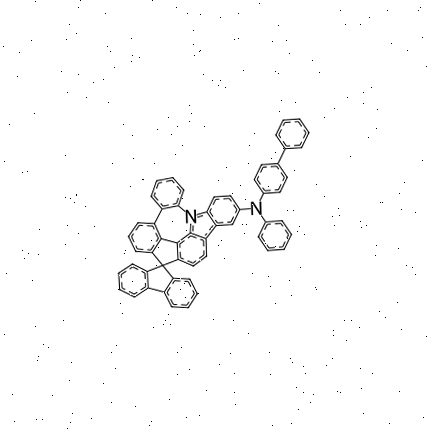 c1ccc(-c2ccc(N(c3ccccc3)c3ccc4c(c3)c3ccc5c6c3n4-c3ccccc3-c3cccc(c3-6)C53c4ccccc4-c4ccccc43)cc2)cc1